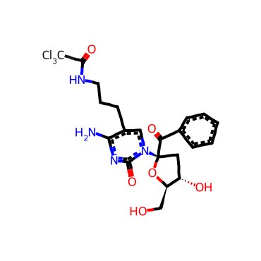 Nc1nc(=O)n([C@@]2(C(=O)c3ccccc3)C[C@H](O)[C@@H](CO)O2)cc1CCCNC(=O)C(Cl)(Cl)Cl